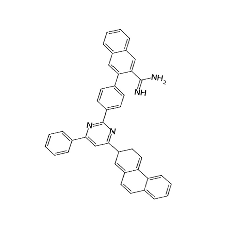 N=C(N)c1cc2ccccc2cc1-c1ccc(-c2nc(-c3ccccc3)cc(C3C=c4ccc5ccccc5c4=CC3)n2)cc1